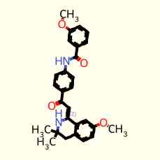 COc1cccc(C(=O)Nc2ccc(C(=O)/C=C3\NC(C)(C)Cc4ccc(OC)cc43)cc2)c1